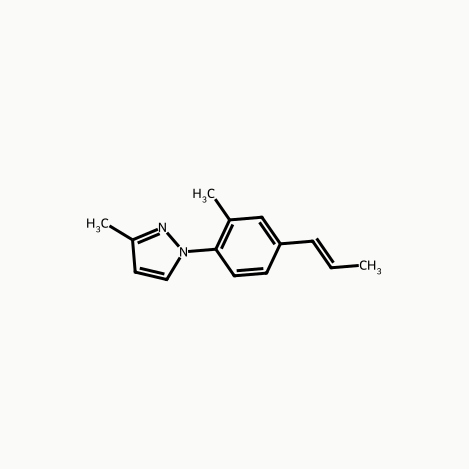 C/C=C/c1ccc(-n2ccc(C)n2)c(C)c1